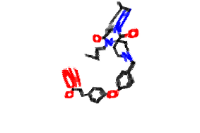 CCCCN1C(=O)[C@H](CC(C)C)NC(=O)C12CCN(Cc1ccc(Oc3ccc(C=CC(=O)O)cc3)cc1)CC2